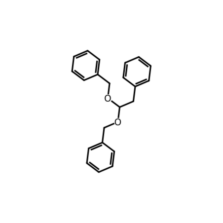 c1ccc(COC(Cc2ccccc2)OCc2ccccc2)cc1